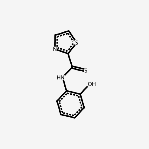 Oc1ccccc1NC(=S)c1nccs1